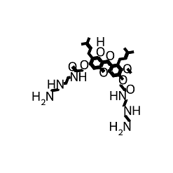 COc1c(OCC(=O)NCCNCCN)cc2oc3cc(OCC(=O)NCCNCCN)c(CC=C(C)C)c(O)c3c(=O)c2c1CC=C(C)C